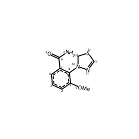 COc1cccc(C(N)=O)c1N1CSC=N1